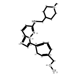 CN1CCC(CNc2ccc3ncc(C4=CC=CC(COC(F)(F)F)=CC4)n3n2)CC1